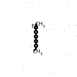 CCCC1CCC(c2ccc(C3=CCC(C4CCC(c5ccc(CC)c(F)c5)CC4)CC3)cc2)CC1